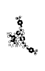 CC(=NC(=O)OCc1ccc([N+](=O)[O-])cc1)N1CCN(C(=O)[C@@H]2C[C@H](SC3=C(C(=O)O)N4C(=O)[C@H](C(C)O)[C@H]4[C@H]3C)CN2C(=O)OCc2ccc([N+](=O)[O-])cc2)C[C@@H]1C